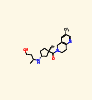 CC(CCO)N[C@@H]1CC[C@@](C(=O)N2CCc3ncc(C(F)(F)F)cc3C2)(C(C)C)C1